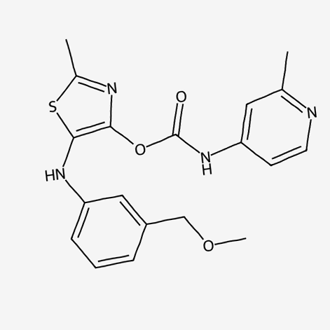 COCc1cccc(Nc2sc(C)nc2OC(=O)Nc2ccnc(C)c2)c1